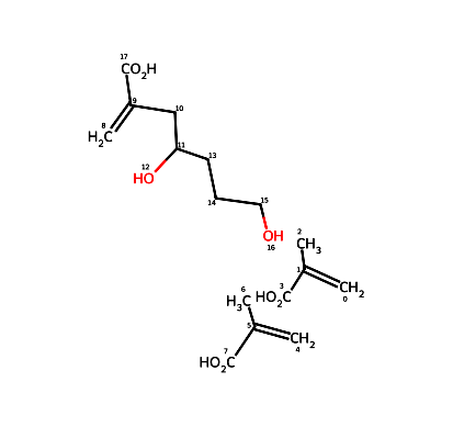 C=C(C)C(=O)O.C=C(C)C(=O)O.C=C(CC(O)CCCO)C(=O)O